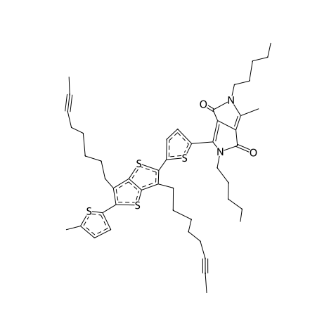 CC#CCCCCCc1c(-c2ccc(C)s2)sc2c(CCCCCC#CC)c(-c3ccc(C4=C5C(=O)N(CCCCC)C(C)=C5C(=O)N4CCCCC)s3)sc12